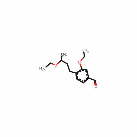 CCOc1cc(C=O)ccc1CCC(C)OCC